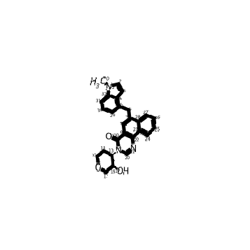 Cn1ccc2c(Cc3cc4c(=O)n([C@H]5CCOC[C@@H]5O)cnc4c4ccccc34)cccc21